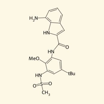 COc1c(NC(=O)c2cc3cccc(N)c3[nH]2)cc(C(C)(C)C)cc1NS(C)(=O)=O